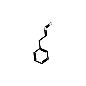 O=S=C[CH]c1ccccc1